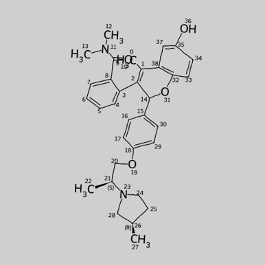 CC1=C(c2ccccc2C(=O)N(C)C)C(c2ccc(OC[C@H](C)N3CC[C@@H](C)C3)cc2)Oc2ccc(O)cc21